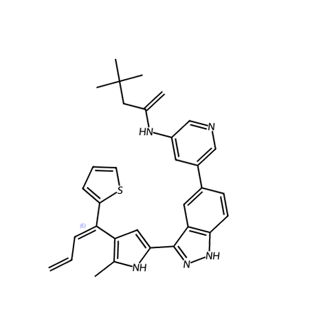 C=C/C=C(/c1cccs1)c1cc(-c2n[nH]c3ccc(-c4cncc(NC(=C)CC(C)(C)C)c4)cc23)[nH]c1C